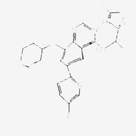 Cc1nc(C(C)Nc2ncnc3c(OC4CCOCC4)cc(-c4ccc(F)cn4)cc23)no1